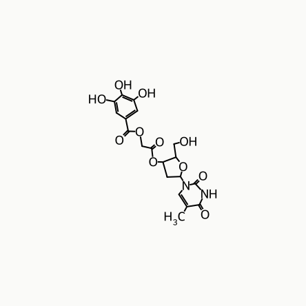 Cc1cn(C2CC(OC(=O)COC(=O)c3cc(O)c(O)c(O)c3)C(CO)O2)c(=O)[nH]c1=O